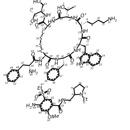 CC(O)[C@@H]1NC(=O)[C@H](CCCCN)NC(=O)[C@@H](Cc2c[nH]c3ccccc23)NC(=O)[C@H](Cc2ccccc2)NC(=O)[C@@H](NC(=O)[C@H](N)Cc2ccccc2)CSSC[C@@H](C(=O)N[C@H](CO)[C@@H](C)O)NC1=O.CCN1CCCC1CNC(=O)c1cc(S(=O)(=O)CC)c(N)cc1OC